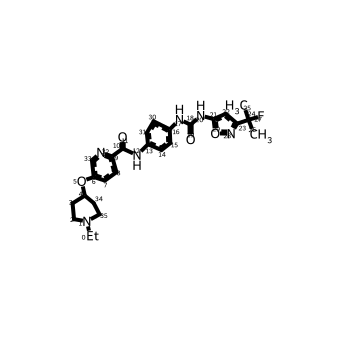 CCN1CCC(Oc2ccc(C(=O)Nc3ccc(NC(=O)Nc4cc(C(C)(C)F)no4)cc3)nc2)CC1